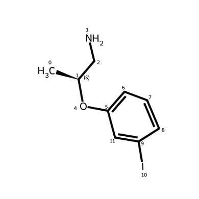 C[C@@H](CN)Oc1cccc(I)c1